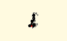 Cc1ccc(N2CCN(C(=O)c3cccc(OCC4c5ccccc5CN4c4cn[nH]c(=O)c4C(F)(F)F)c3)CC2)nc1